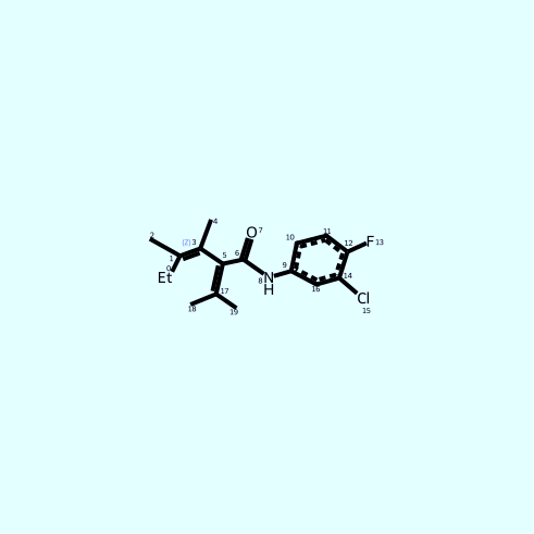 CC/C(C)=C(/C)C(C(=O)Nc1ccc(F)c(Cl)c1)=C(C)C